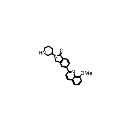 COc1cccc2ccc(-c3ccc4c(c3)CN(C3CCCNC3)C4=O)nc12